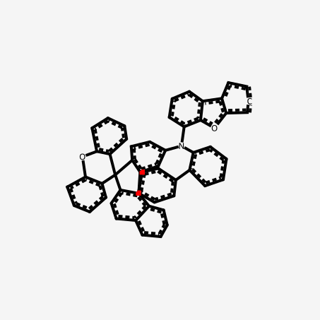 c1ccc(-c2ccccc2N(c2ccc3c(c2)-c2c(ccc4ccccc24)C32c3ccccc3Oc3ccccc32)c2cccc3c2oc2ccccc23)cc1